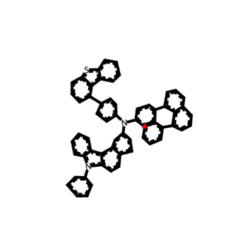 c1ccc(-c2cccc3cccc(-c4ccc(N(c5ccc(-c6cccc7sc8ccccc8c67)cc5)c5ccc6ccc7c(c6c5)c5ccccc5n7-c5ccccc5)cc4)c23)cc1